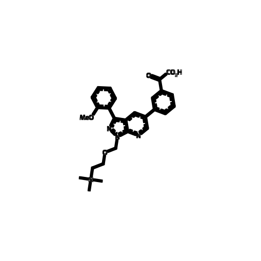 COc1ccccc1-c1nn(COCC[Si](C)(C)C)c2ncc(-c3cccc(C(=O)C(=O)O)c3)cc12